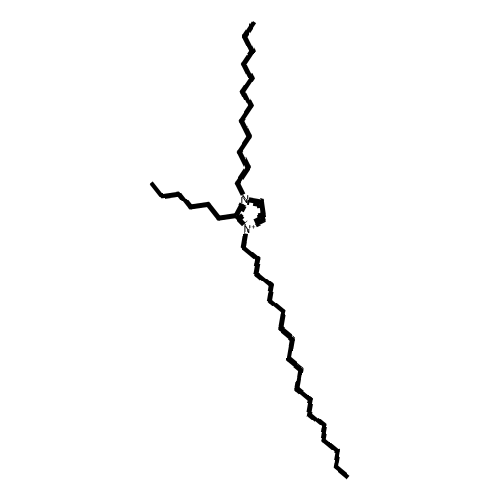 CCCCCCCCCCCCCCCCCC[n+]1ccn(CCCCCCCCCCCC)c1CCCCCC